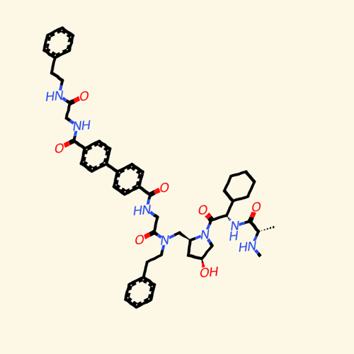 CN[C@@H](C)C(=O)N[C@H](C(=O)N1C[C@@H](O)C[C@H]1CN(CCc1ccccc1)C(=O)CNC(=O)c1ccc(-c2ccc(C(=O)NCC(=O)NCCc3ccccc3)cc2)cc1)C1CCCCC1